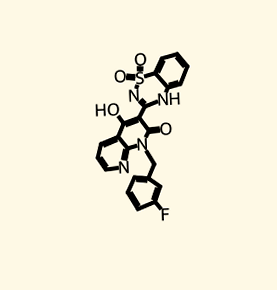 O=c1c(C2=NS(=O)(=O)c3ccccc3N2)c(O)c2cccnc2n1Cc1cccc(F)c1